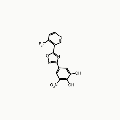 O=[N+]([O-])c1cc(-c2noc(-c3cnccc3C(F)(F)F)n2)cc(O)c1O